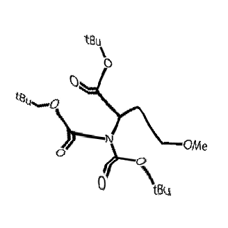 COCCC(C(=O)OC(C)(C)C)N(C(=O)OC(C)(C)C)C(=O)OC(C)(C)C